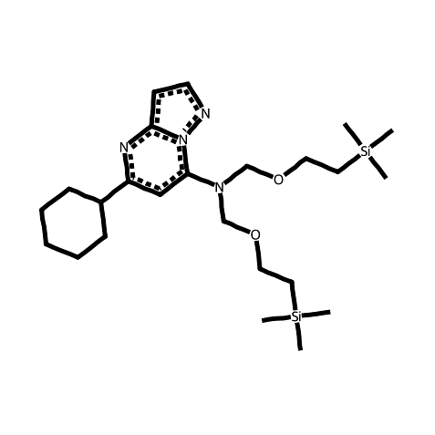 C[Si](C)(C)CCOCN(COCC[Si](C)(C)C)c1cc(C2CCCCC2)nc2ccnn12